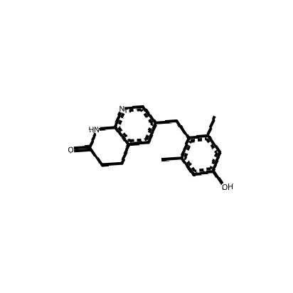 Cc1cc(O)cc(C)c1Cc1cnc2c(c1)CCC(=O)N2